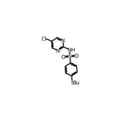 CC(C)(C)c1ccc(S(=O)(=O)Nc2ncc(Cl)cn2)cc1